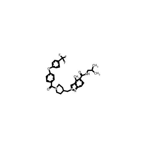 Cc1c(C(=O)NCC(C)C)ccc2nn(CC3CCN(C(=O)c4ccc(Oc5ccc(C(F)(F)F)cc5)cc4)CC3)cc12